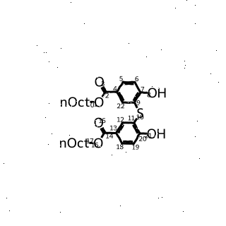 CCCCCCCCOC(=O)c1ccc(O)c(Sc2cc(C(=O)OCCCCCCCC)ccc2O)c1